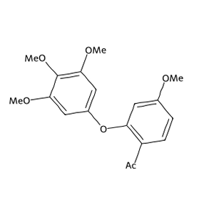 COc1ccc(C(C)=O)c(Oc2cc(OC)c(OC)c(OC)c2)c1